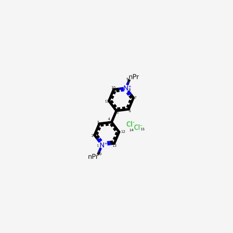 CCC[n+]1ccc(-c2cc[n+](CCC)cc2)cc1.[Cl-].[Cl-]